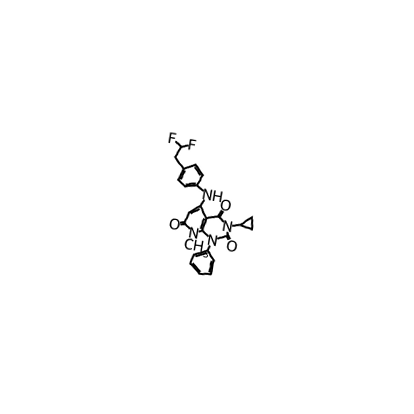 Cn1c(=O)cc(Nc2ccc(CC(F)F)cc2)c2c(=O)n(C3CC3)c(=O)n(-c3ccccc3)c21